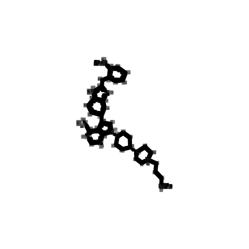 COCCCN1CCN([C@H]2CC[C@@H](n3cc(-c4ccc5[nH]c(Cc6ccccc6OC)nc5c4)c4c(N)ncnc43)CC2)CC1